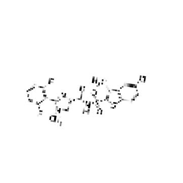 Cc1c(S(=O)(=O)NC(=O)c2cn(C)c(-c3c(F)cccc3F)n2)sc2ccc(Cl)cc12